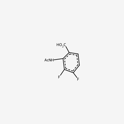 CC(=O)Nc1c(C(=O)O)ccc(F)c1F